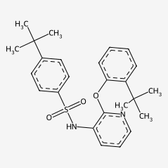 CC(C)(C)c1ccc(S(=O)(=O)Nc2cccnc2Oc2ccccc2C(C)(C)C)cc1